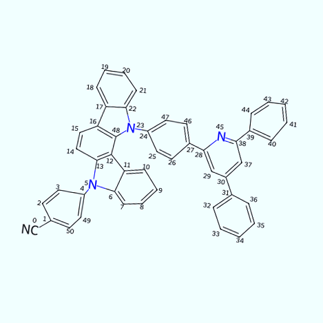 N#Cc1ccc(-n2c3ccccc3c3c2ccc2c4ccccc4n(-c4ccc(-c5cc(-c6ccccc6)cc(-c6ccccc6)n5)cc4)c23)cc1